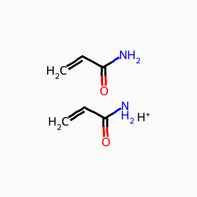 C=CC(N)=O.C=CC(N)=O.[H+]